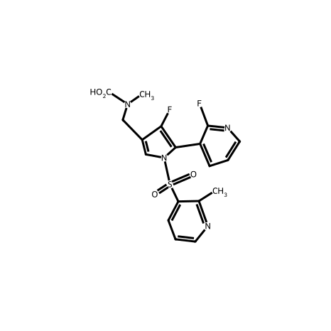 Cc1ncccc1S(=O)(=O)n1cc(CN(C)C(=O)O)c(F)c1-c1cccnc1F